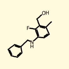 Cc1ccc(NCc2ccccc2)c(F)c1CO